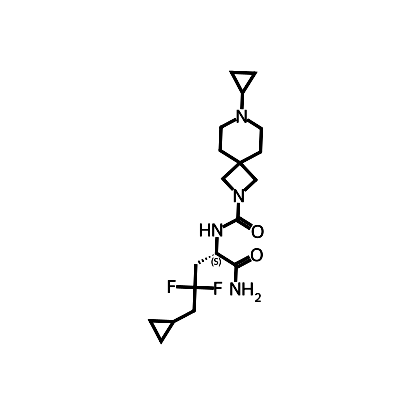 NC(=O)[C@H](CC(F)(F)CC1CC1)NC(=O)N1CC2(CCN(C3CC3)CC2)C1